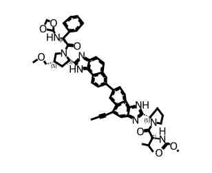 CC#Cc1cc2nc([C@@H]3CCCN3C(=O)[C@@H](NC(=O)OC)C(C)C)[nH]c2c2ccc(-c3ccc4c(ccc5nc([C@@H]6C[C@H](COC)CN6C(=O)[C@H](NC6OCO6)c6ccccc6)[nH]c54)c3)cc12